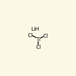 [Cl][Ti]([Cl])[Cl].[LiH]